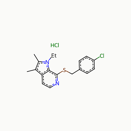 CCn1c(C)c(C)c2ccnc(SCc3ccc(Cl)cc3)c21.Cl